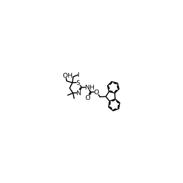 CC1(C)CC(CO)(CI)SC(NC(=O)OCC2c3ccccc3-c3ccccc32)=N1